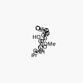 CO[C@H]1C(O[P@]2O[C@@H](C[Si](C)(c3ccccc3)c3ccccc3)[C@H]3CCCN32)[C@@H](CO)O[C@H]1n1ccc(NC(=O)C(C)C)nc1=O